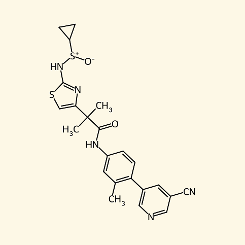 Cc1cc(NC(=O)C(C)(C)c2csc(N[S+]([O-])C3CC3)n2)ccc1-c1cncc(C#N)c1